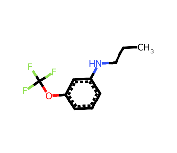 CCCNc1cccc(OC(F)(F)F)c1